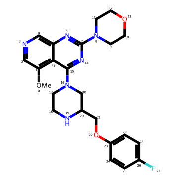 COc1cncc2nc(N3CCOCC3)nc(N3CCNC(COc4ccc(F)cc4)C3)c12